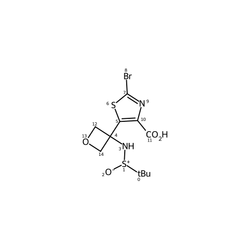 CC(C)(C)[S+]([O-])NC1(c2sc(Br)nc2C(=O)O)COC1